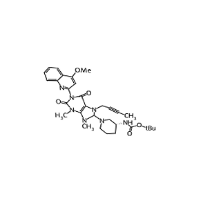 CC#CCN1c2c(n(C)c(=O)n(-c3cc(OC)c4ccccc4n3)c2=O)N(C)C1N1CCC[C@@H](NC(=O)OC(C)(C)C)C1